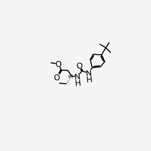 CC[C@H](CC(=O)OC)NC(=O)Nc1ccc(C(C)(C)C)cc1